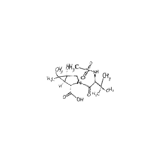 CC(C)(C)[C@H](NS(C)(=O)=O)C(=O)N1C[C@H]2[C@@H]([C@H]1C(=O)O)C2(C)C